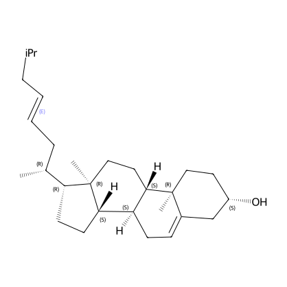 CC(C)C/C=C/C[C@@H](C)[C@H]1CC[C@H]2[C@@H]3CC=C4C[C@@H](O)CC[C@]4(C)[C@H]3CC[C@]12C